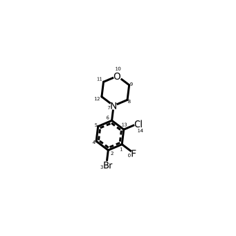 Fc1c(Br)ccc(N2CCOCC2)c1Cl